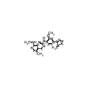 CNc1ncc(C)c2cnc(Nc3ccc(-c4nncn4C)cc3OC)nc12